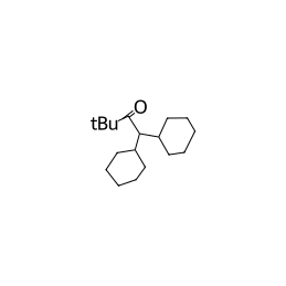 CC(C)(C)C(=O)C(C1CCCCC1)C1CCCCC1